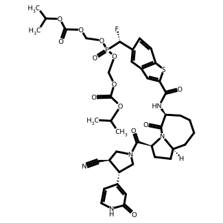 CC(C)OC(=O)OCOP(=O)(OCOC(=O)OC(C)C)[C@H](F)c1ccc2sc(C(=O)N[C@H]3CCCC[C@H]4CC[C@@H](C(=O)N5C[C@H](c6cc[nH]c(=O)c6)[C@@H](C#N)C5)N4C3=O)cc2c1